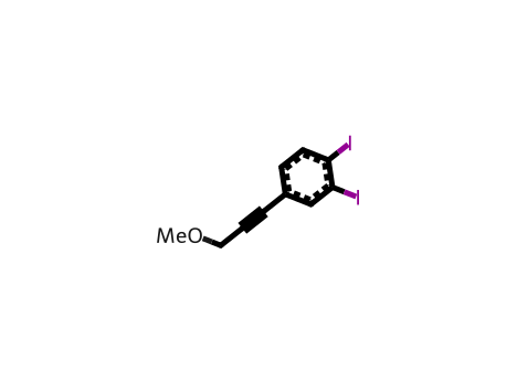 COCC#Cc1ccc(I)c(I)c1